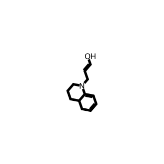 OC=CCN1CCCC2CC=CC=C21